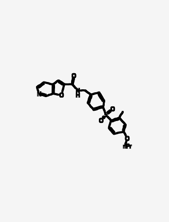 CCCOc1ccc(S(=O)(=O)c2ccc(CNC(=O)c3cc4ccncc4o3)cc2)c(C)c1